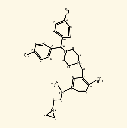 CN(CCN1CC1)c1ccc(C(F)(F)F)c(CN2CCN(C(c3ccc(Cl)cc3)c3ccc(Cl)cc3)CC2)c1